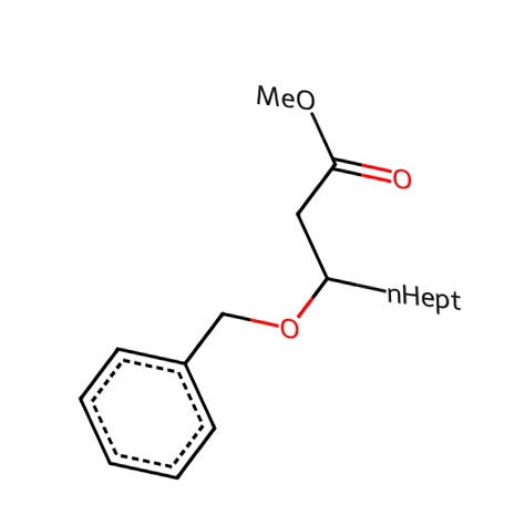 CCCCCCCC(CC(=O)OC)OCc1ccccc1